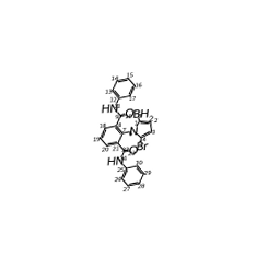 Bc1ccc(Br)n1-c1c(C(=O)Nc2ccccc2)cccc1C(=O)Nc1ccccc1